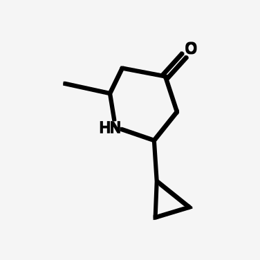 CC1CC(=O)CC(C2CC2)N1